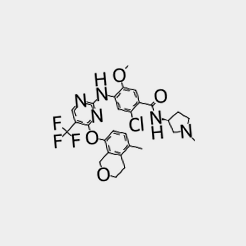 COc1cc(C(=O)N[C@H]2CCN(C)C2)c(Cl)cc1Nc1ncc(C(F)(F)F)c(Oc2ccc(C)c3c2COCC3)n1